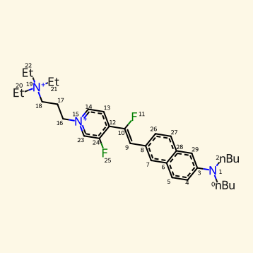 CCCCN(CCCC)c1ccc2cc(/C=C(\F)c3cc[n+](CCC[N+](CC)(CC)CC)cc3F)ccc2c1